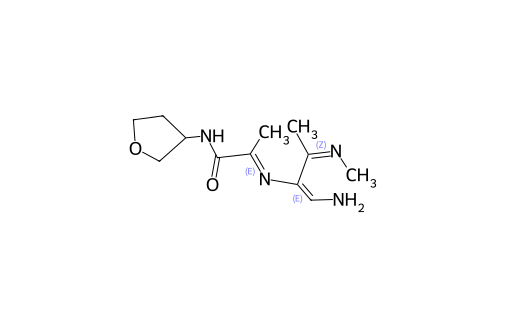 C\N=C(C)/C(=C\N)/N=C(\C)C(=O)NC1CCOC1